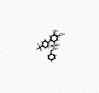 O=S(=O)(NCc1ccccc1)c1cc(O)c(O)cc1-c1ccc(C(F)(F)F)cc1